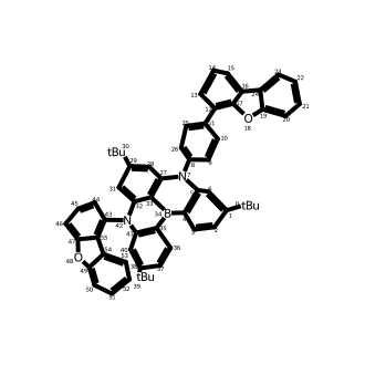 CC(C)(C)c1ccc2c(c1)N(c1ccc(-c3cccc4c3oc3ccccc34)cc1)c1cc(C(C)(C)C)cc3c1B2c1ccc(C(C)(C)C)cc1N3c1cccc2oc3ccccc3c12